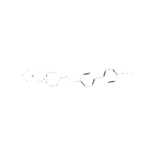 Oc1ccc(-c2ccc(OCC3CCN(CC4(C(F)(F)F)CCC4)CC3)cc2)cc1